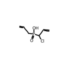 C=CCP(=O)(O)C(Cl)C=C